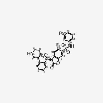 C[C@H](c1ccccc1C1=CNCCC1)n1c(=O)oc2cc(S(=O)(=O)Nc3cccc(F)n3)c(F)cc21